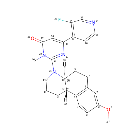 COc1ccc2c(c1)CC[C@H]1[C@H]2CCCN1c1nc(-c2ccncc2F)cc(=O)n1C